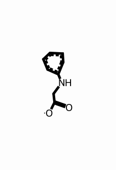 [O]C(=O)CNc1ccccc1